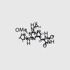 COC[C@H]1CCCN1Nc1nc(NC2CC2)n2ncc(/C=C3\NC(=O)NC3=O)c2n1